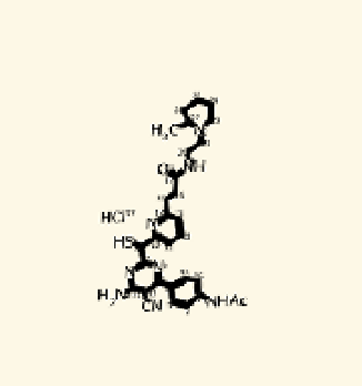 CC(=O)Nc1ccc(-c2nc(C(S)c3cccc(CCC(=O)NCCN4CCCCC4C)n3)nc(N)c2C#N)cc1.Cl